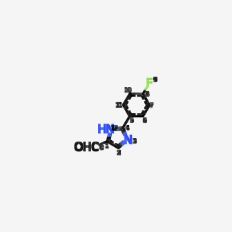 O=Cc1cnc(-c2ccc(F)cc2)[nH]1